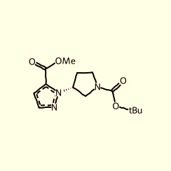 COC(=O)c1ccnn1[C@@H]1CCN(C(=O)OC(C)(C)C)C1